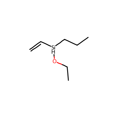 C=C[SiH](CCC)OCC